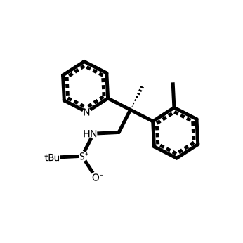 Cc1ccccc1[C@@](C)(CN[S+]([O-])C(C)(C)C)c1ccccn1